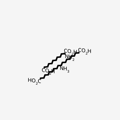 N.NC(CCCCCCCCCC(=O)O)C(=O)O.O=C(O)CCCCCCCCCCCCCCCCCCC(=O)O